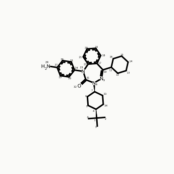 CC(C)(C)[C@H]1CC[C@@H](N2N=C(C3CCCCC3)c3ccccc3N(c3ccc(N)cc3)C2=O)CC1